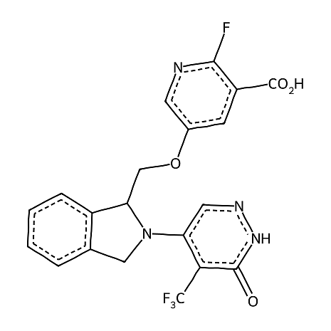 O=C(O)c1cc(OCC2c3ccccc3CN2c2cn[nH]c(=O)c2C(F)(F)F)cnc1F